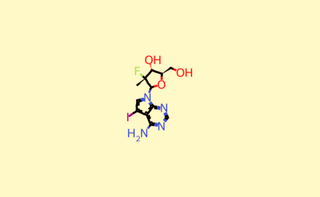 C[C@]1(F)C(n2cc(I)c3c(N)ncnc32)O[C@H](CO)[C@H]1O